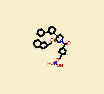 O=C(c1ccc(CON(O)O)cc1)N1CC[C@H](c2cccc(-c3ccccc3)c2)[C@@H](OCc2ccc3ccccc3c2)C1